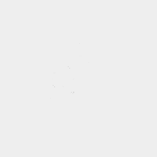 CO[C@@]1(NC(=O)Cc2cccs2)C(=O)N2C(C(=O)OC(c3ccccc3)c3ccccc3)C(CCl)=CS[C@@H]21